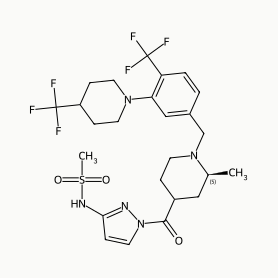 C[C@H]1CC(C(=O)n2ccc(NS(C)(=O)=O)n2)CCN1Cc1ccc(C(F)(F)F)c(N2CCC(C(F)(F)F)CC2)c1